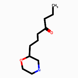 CCCC(=O)CCCC1C[N]CCO1